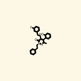 Cc1nn(CCc2ccccc2)c(=O)c(CCc2cccc(F)c2)c1-c1ccccc1O